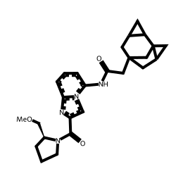 COC[C@@H]1CCCN1C(=O)c1cn2c(NC(=O)CC34CC5CC5C5(CC5C3)C4)cccc2n1